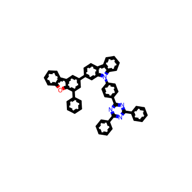 c1ccc(-c2nc(-c3ccccc3)nc(-c3ccc(-n4c5ccccc5c5ccc(-c6cc(-c7ccccc7)c7oc8ccccc8c7c6)cc54)cc3)n2)cc1